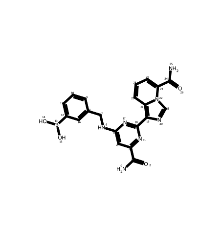 NC(=O)c1cc(NCc2cccc(B(O)O)c2)nc(-c2ncn3c(C(N)=O)cccc23)n1